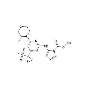 C[C@@H]1COCCN1c1cc(C2(S(C)(=O)=O)CC2)nc(Nc2ccnn2C(=O)OC(C)(C)C)n1